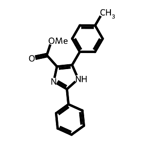 COC(=O)c1nc(-c2ccccc2)[nH]c1-c1ccc(C)cc1